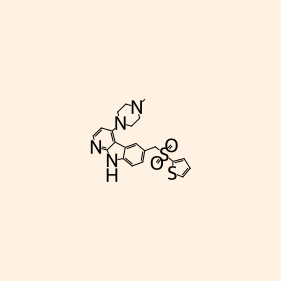 CN1CCN(c2ccnc3[nH]c4ccc(CS(=O)(=O)c5cccs5)cc4c23)CC1